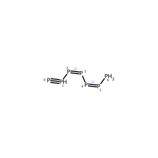 P#[PH]/P=P\P=P/P